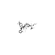 CCCC(=O)N[C@@H](c1cnn2cc([C@@H](NC(=O)c3ccccc3Cl)C3CCC(F)(F)CC3)nc2c1)C1CC1